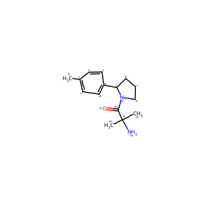 Cc1ccc(C2CCCN2C(=O)C(C)(C)N)cc1